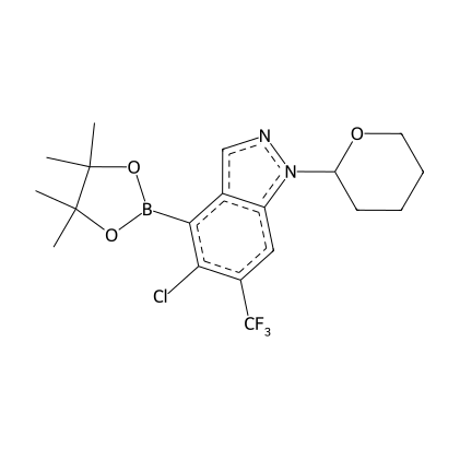 CC1(C)OB(c2c(Cl)c(C(F)(F)F)cc3c2cnn3C2CCCCO2)OC1(C)C